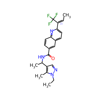 C/C=C(/c1ccc2cc(C(=O)NC(C)c3cnn(CC)c3C)ccc2n1)C(F)(F)F